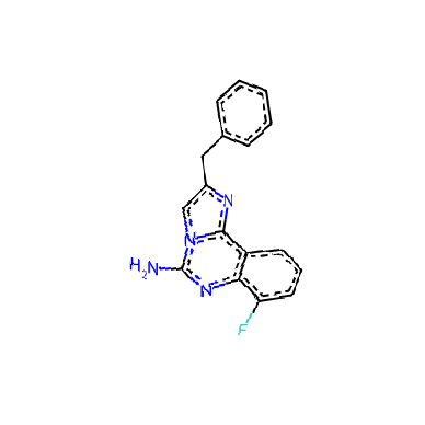 Nc1nc2c(F)cccc2c2nc(Cc3ccccc3)cn12